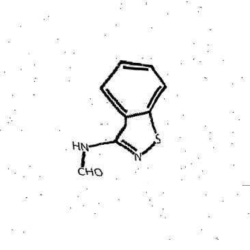 O=CNc1nsc2ccccc12